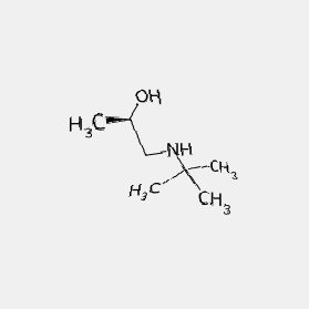 C[C@@H](O)CNC(C)(C)C